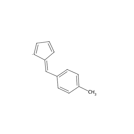 Cc1ccc(C=C2[C]=CC=C2)cc1